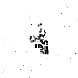 C[C@@]1(C(=O)Nc2nncs2)Cc2ccc(C3CC3)cc2[C@@H]1c1ccccc1